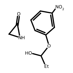 CCC(O)Oc1cccc([N+](=O)[O-])c1.O=C1CN1